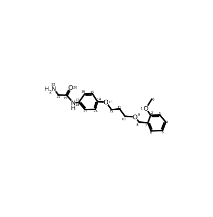 COc1ccccc1COCCCOc1ccc(NC(=O)CN)cc1